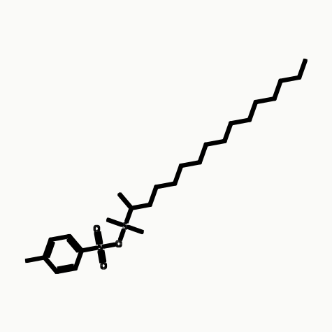 CCCCCCCCCCCCCCC(C)S(C)(C)OS(=O)(=O)c1ccc(C)cc1